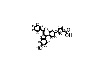 O=C(O)c1ccc(-c2ccc(-c3c(C(=O)c4ccccc4)sc4cc(O)ccc34)cc2)o1